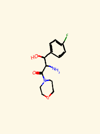 NC(C(=O)N1CCOCC1)C(O)c1ccc(F)cc1